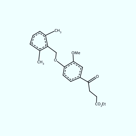 CCOC(=O)CCC(=O)c1ccc(OCc2c(C)cccc2C)c(OC)c1